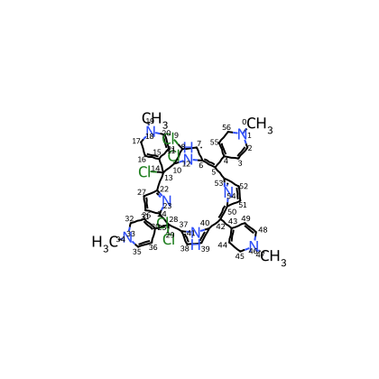 CN1C=CC(C2=C3[CH]C(Cl)C(Cl)(N3)C(Cl)(C3=CCN(C)C=C3)C3=NC(Cl)(C=C3)C(Cl)(C3=CCN(C)C=C3)c3ccc([nH]3)C(C3=CCN(C)C=C3)=C3C=CC2=N3)=CC1